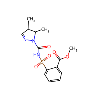 COC(=O)c1ccccc1S(=O)(=O)NC(=O)N1N=CC(C)C1C